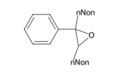 CCCCCCCCCC1OC1(CCCCCCCCC)c1ccccc1